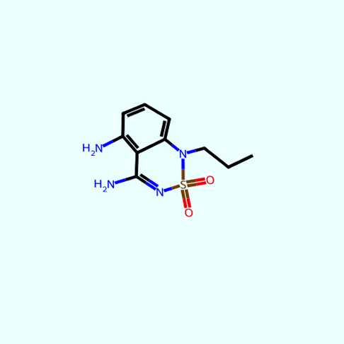 CCCN1c2cccc(N)c2C(N)=NS1(=O)=O